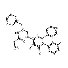 Cc1cccc(-c2c(-c3ccncc3)nc(NC[C@H](Cc3ccccc3)NC(=O)CN)n(C)c2=O)c1